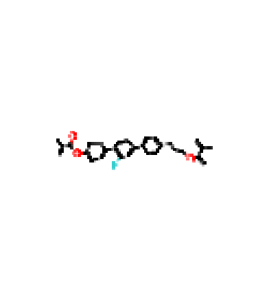 C=C(C)C(=C)OCCCc1ccc(-c2ccc(-c3ccc(OC(=O)C(=C)C)cc3)c(F)c2)cc1